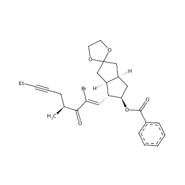 CCC#CC[C@H](C)C(=O)C(Br)=C[C@@H]1[C@H]2CC3(C[C@H]2C[C@H]1OC(=O)c1ccccc1)OCCO3